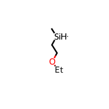 CCOCC[SiH]C